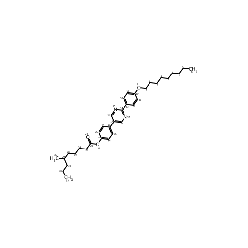 CCCCCCCCCOc1ccc(-c2ncc(-c3ccc(OC(=O)CCCCC(C)CCC)cc3)cn2)cc1